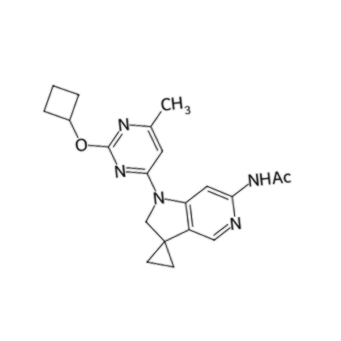 CC(=O)Nc1cc2c(cn1)C1(CC1)CN2c1cc(C)nc(OC2CCC2)n1